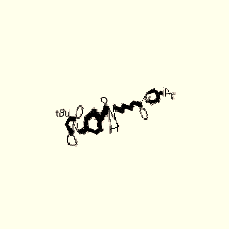 CC(C)C1CCN(C(=O)CCCCCNC(=O)C2CCC(CN3C(=O)CC(C(C)(C)C)C3=O)CC2)CC1